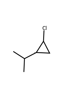 CC(C)[C]1CC1Cl